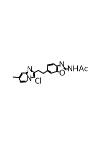 CC(=O)Nc1nc2ccc(CCc3nc4cc(C)ccn4c3Cl)cc2o1